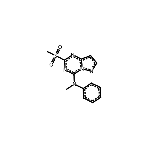 CN(c1ccccc1)c1nc(S(C)(=O)=O)nc2ccnn12